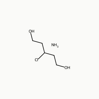 N.OCCC(Cl)CCO